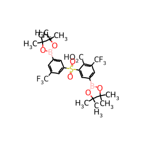 CC1(C)OB(c2cc(C(F)(F)F)cc(S(=O)(=O)c3cc(B4OC(C)(C)C(C)(C)O4)cc(C(F)(F)F)c3C(=O)O)c2)OC1(C)C